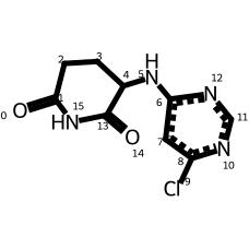 O=C1CCC(Nc2cc(Cl)ncn2)C(=O)N1